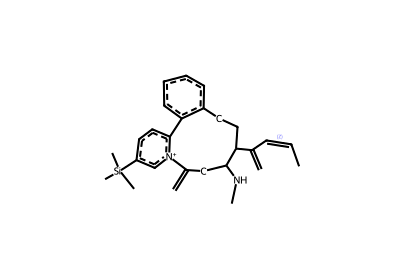 C=C(/C=C\C)C1CCc2ccccc2-c2ccc([Si](C)(C)C)c[n+]2C(=C)CC1NC